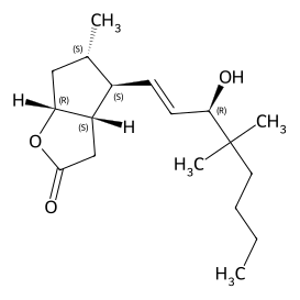 CCCCC(C)(C)[C@H](O)C=C[C@H]1[C@@H]2CC(=O)O[C@@H]2C[C@@H]1C